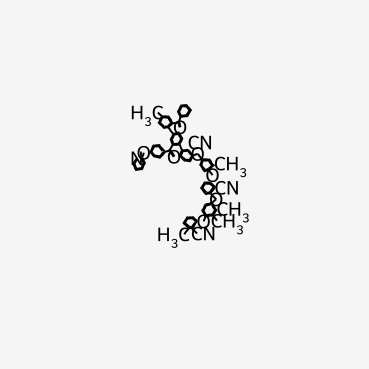 Cc1ccc(-c2ccc(-c3cccc(Oc4ccc(Oc5cccc(Oc6ccc(Oc7cccc(C)c7C#N)c(C)c6C)c5C#N)c(C)c4)c3C#N)c(C(=O)c3ccc(Oc4ccccn4)cc3)c2)c(C(=O)c2ccccc2)c1